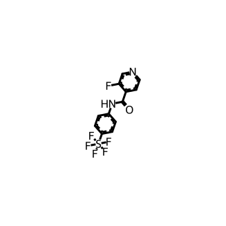 O=C(Nc1ccc(S(F)(F)(F)(F)F)cc1)c1ccncc1F